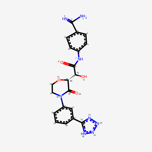 N=C(N)c1ccc(NC(=O)C(O)[C@H]2OCCN(c3cccc(-c4nnn[nH]4)c3)C2=O)cc1